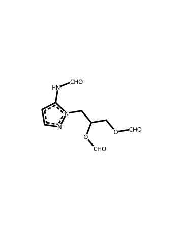 O=CNc1ccnn1CC(COC=O)OC=O